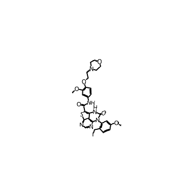 COc1ccc(CI)c(N2C(=O)Nc3c(C(=O)Nc4ccc(OCCN5CCOCC5)c(OC)c4)sc4ncnc2c34)c1